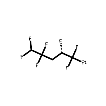 [CH2]CC(F)(F)[C@@H](F)CC(F)(F)C(F)F